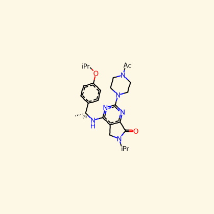 CC(=O)N1CCN(c2nc(N[C@H](C)c3ccc(OC(C)C)cc3)c3c(n2)C(=O)N(C(C)C)C3)CC1